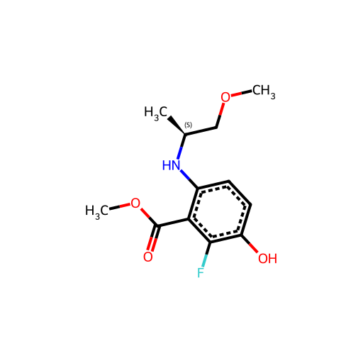 COC[C@H](C)Nc1ccc(O)c(F)c1C(=O)OC